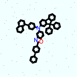 c1ccc(-c2ccc(-c3nc4cc(N(c5ccc(-c6cccc7ccccc67)cc5)c5ccc6c(c5)C(c5ccccc5)(c5ccccc5)c5ccccc5-6)ccc4o3)cc2)cc1